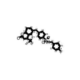 O=c1cc(C(F)(F)F)c2cc(Cc3ccc(S(=O)(=O)NCc4ccc(F)cc4)cc3)ccc2o1